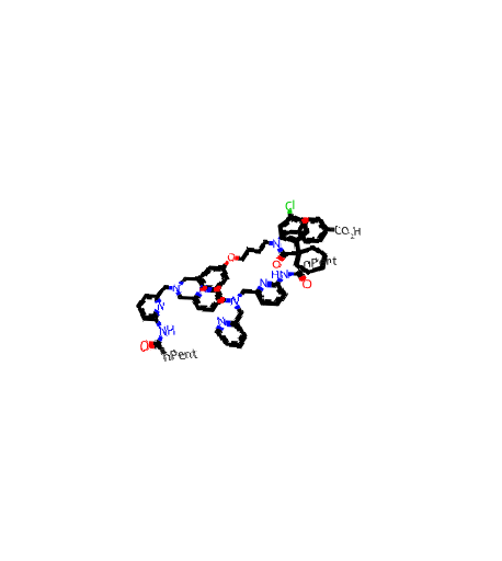 CCCCCC(=O)Nc1cccc(CN(Cc2cc(CN(Cc3ccccn3)Cc3cccc(NC(=O)CCCCC)n3)cc(OCCCCN(Cc3ccc(C(=O)O)cc3)C(=O)C3(c4ccc(Cl)cc4)CCCCC3)c2)Cc2ccccn2)n1